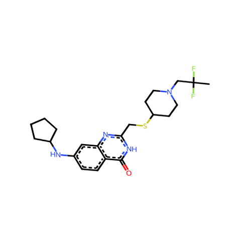 CC(F)(F)CN1CCC(SCc2nc3cc(NC4CCCC4)ccc3c(=O)[nH]2)CC1